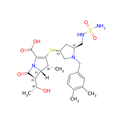 Cc1ccc(CN2C[C@@H](SC3=C(C(=O)O)N4C(=O)[C@H]([C@@H](C)O)[C@H]4[C@H]3C)C[C@H]2CNS(N)(=O)=O)cc1C